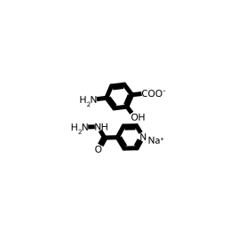 NNC(=O)c1ccncc1.Nc1ccc(C(=O)[O-])c(O)c1.[Na+]